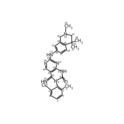 Cc1cccc(Cl)c1-n1c(=O)[nH]c2nc(Nc3ccc4c(c3)CN(C)CC4(C)C)ncc2c1=N